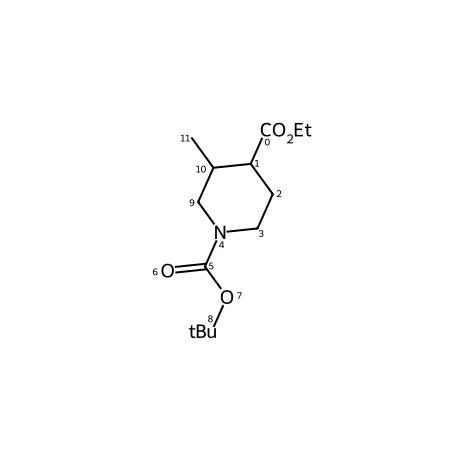 CCOC(=O)C1CCN(C(=O)OC(C)(C)C)CC1C